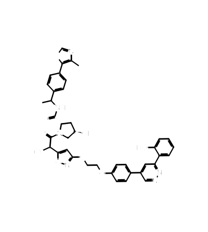 Cc1ncsc1-c1ccc(C(C)NC(=O)[C@@H]2C[C@@H](O)CN2C(=O)C(c2cc(OCCOc3ccc(-c4cnnc(-c5ccccc5O)c4)cc3)no2)C(C)C)cc1